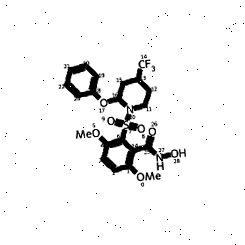 COc1ccc(OC)c(S(=O)(=O)N2CCC(C(F)(F)F)CC2Oc2ccccc2)c1C(=O)NO